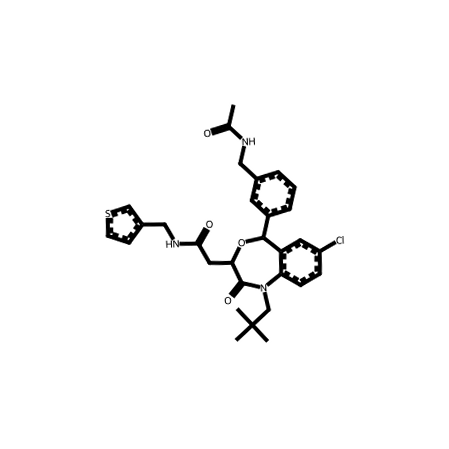 CC(=O)NCc1cccc(C2OC(CC(=O)NCc3ccsc3)C(=O)N(CC(C)(C)C)c3ccc(Cl)cc32)c1